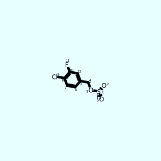 O=[SH](=O)O[CH]c1ccc(Cl)c(F)c1